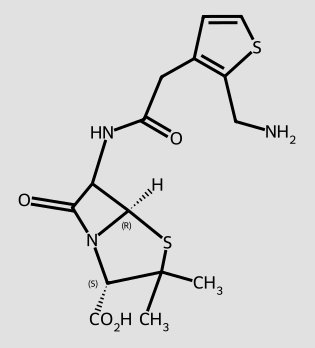 CC1(C)S[C@@H]2C(NC(=O)Cc3ccsc3CN)C(=O)N2[C@H]1C(=O)O